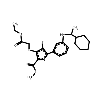 CCOC(=O)COc1c(C(=O)OC)sc(-c2cccc(NC(C)C3CCCCC3)c2)c1Br